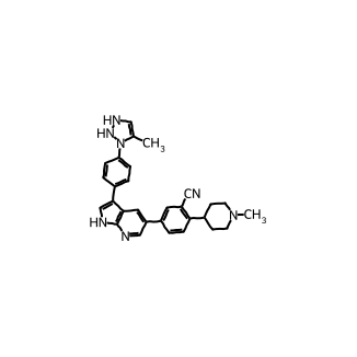 CC1=CNNN1c1ccc(-c2c[nH]c3ncc(-c4ccc(C5CCN(C)CC5)c(C#N)c4)cc23)cc1